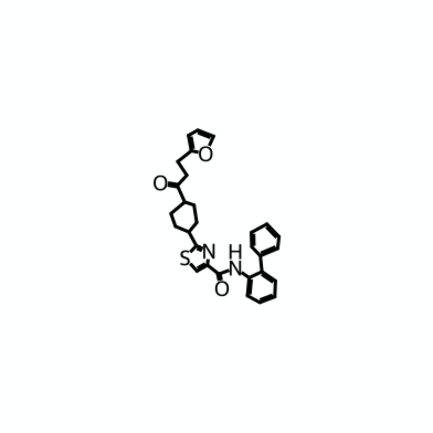 O=C(Nc1ccccc1-c1ccccc1)c1csc(C2CCC(C(=O)CCc3ccco3)CC2)n1